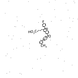 Cc1cccc(N2CCN(C(=O)c3ccc4nc(-c5ccc(F)cc5)c(CCCCC(=O)O)cc4c3)CC2)c1